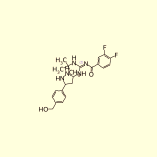 CC(C)(C)N/C(=N/C(=O)c1ccc(F)c(F)c1)NC1CC(c2ccc(CO)cc2)NN1